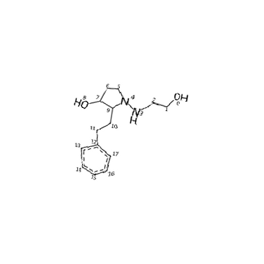 OCCNN1CCC(O)C1CCc1ccccc1